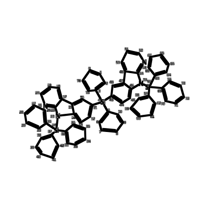 c1ccc([Si](c2ccccc2)(c2ccc3c(c2)c2cccnc2n3[Si](c2ccccc2)(c2ccccc2)c2ccccc2)c2ccc3c(c2)c2cccnc2n3[Si](c2ccccc2)(c2ccccc2)c2ccccc2)cc1